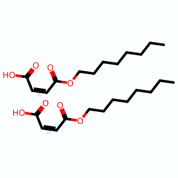 CCCCCCCCOC(=O)/C=C\C(=O)O.CCCCCCCCOC(=O)/C=C\C(=O)O